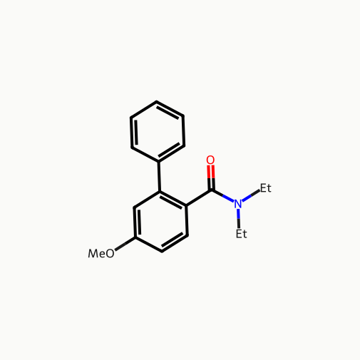 CCN(CC)C(=O)c1ccc(OC)cc1-c1ccccc1